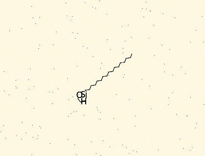 CCCCCCCCCCCCCCCCC[SiH]1CCCCO1